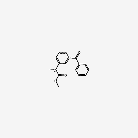 COC(=O)[C@H](C)c1cccc(C(=O)c2ccccc2)c1